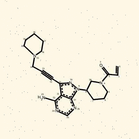 C=CC(=O)N1CCCC(n2nc(C#CCN3CCCCC3)c3c(N)ncnc32)C1